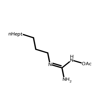 CCCCCCCCCCN=C(N)NOC(C)=O